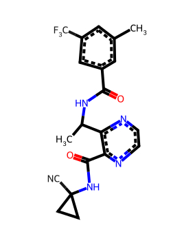 Cc1cc(C(=O)NC(C)c2nccnc2C(=O)NC2(C#N)CC2)cc(C(F)(F)F)c1